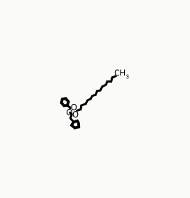 CCCCCCCCCCCCCCCCC(=O)OC(Cc1ccccc1)OCc1ccccc1